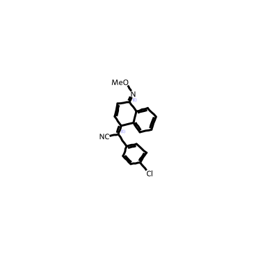 CO/N=C1C=C/C(=C(\C#N)c2ccc(Cl)cc2)c2ccccc2\1